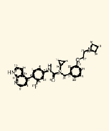 O=C(Nc1ccc(-c2ccnc3[nH]ccc23)c(F)c1)N(Cc1cccc(OCCN2CCC2)c1)C1CC1